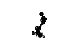 CC(F)(C(=O)OCCCCCOC(=O)c1cc(Br)c(N)c(CN2CCCC2)c1)c1ccc(-c2ccccc2)cc1